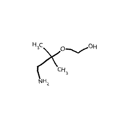 CC(C)(CN)OCO